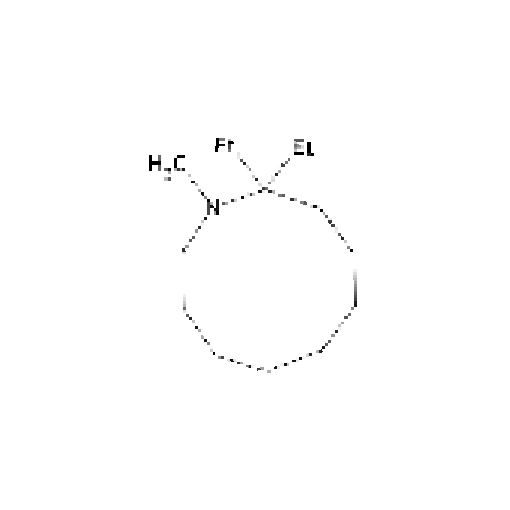 CCC1(CC)CCCCCCCCN1C